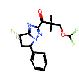 CC(C)(COC(F)F)C(=O)c1nc2n(n1)C(c1ccccc1)C[C@@H]2F